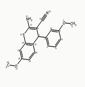 COc1cccc(C2C(C#N)=C(N)Sc3cc(OC)ccc32)c1